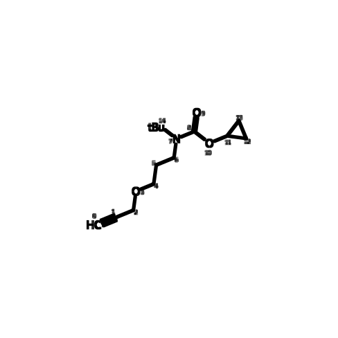 C#CCOCCCN(C(=O)OC1CC1)C(C)(C)C